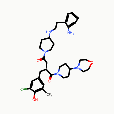 Nc1ccccc1CCNC1CCN(C(=O)C[C@H](Cc2cc(Cl)c(O)c(C(F)(F)F)c2)C(=O)N2CCC(N3CCOCC3)CC2)CC1